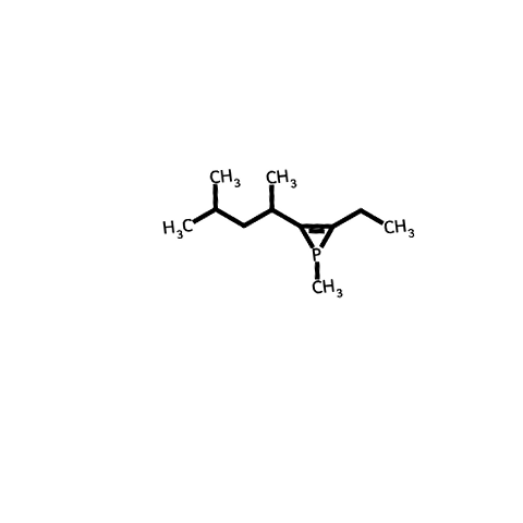 CCC1=C(C(C)CC(C)C)P1C